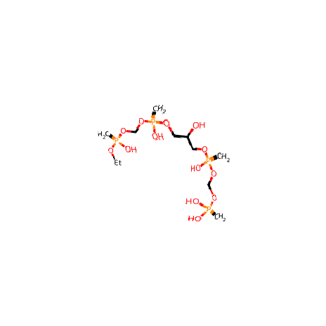 C=P(O)(O)OCOP(=C)(O)OCC(O)COP(=C)(O)OCOP(=C)(O)OCC